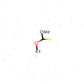 CCOC([S])OC